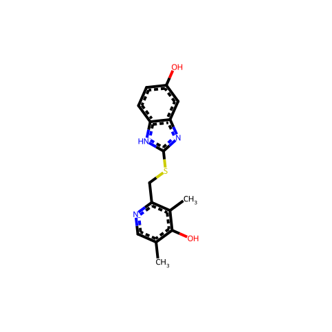 Cc1cnc(CSc2nc3cc(O)ccc3[nH]2)c(C)c1O